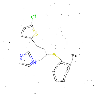 CCc1ccccc1SC(CCc1ccc(Cl)s1)Cn1ccnc1